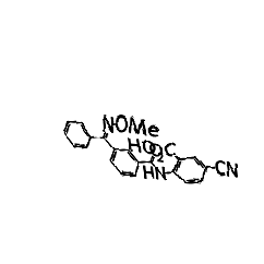 CON=C(c1ccccc1)c1cccc(C(=O)Nc2ccc(C#N)cc2C(=O)O)c1